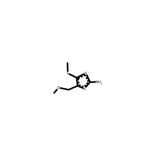 COCc1nc(N)sc1SC